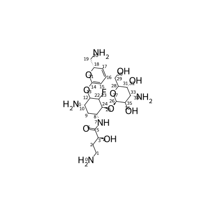 NCC[C@H](O)C(=O)N[C@@H]1C[C@H](N)C(OC2=CC=C[C@@H](CN)O2)C(F)[C@H]1O[C@H]1OC(CO)[C@H](O)[C@H](N)C1O